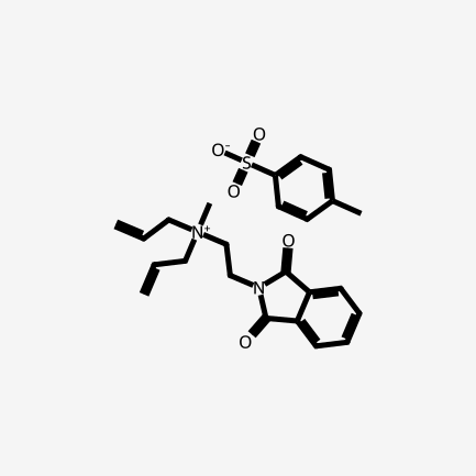 C=CC[N+](C)(CC=C)CCN1C(=O)c2ccccc2C1=O.Cc1ccc(S(=O)(=O)[O-])cc1